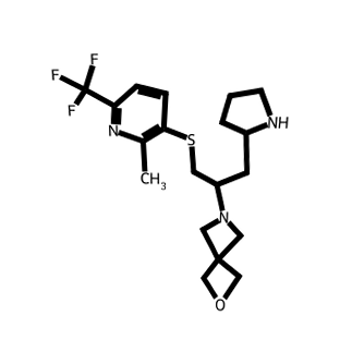 Cc1nc(C(F)(F)F)ccc1SCC(CC1CCCN1)N1CC2(COC2)C1